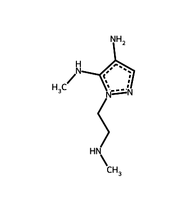 CNCCn1ncc(N)c1NC